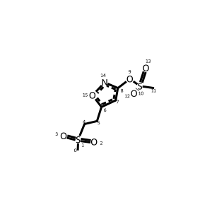 CS(=O)(=O)CCc1cc(OS(C)(=O)=O)no1